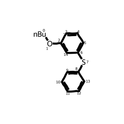 CCCCOc1[c]ccc(Sc2ccccc2)c1